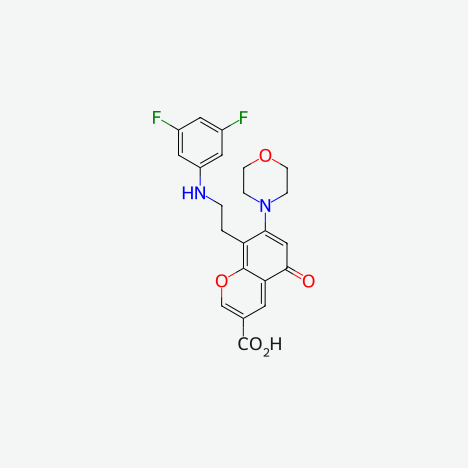 O=C(O)c1coc2c(CCNc3cc(F)cc(F)c3)c(N3CCOCC3)cc(=O)c-2c1